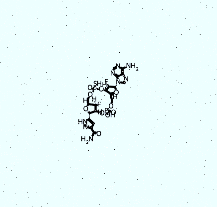 NC(=O)c1cc([C@@H]2O[C@@H]3COP(=O)(S)O[C@H]4[C@@H](F)[C@H](n5cnc6c(N)ncnc65)O[C@@H]4COP(=O)(O)O[C@@H]2[C@@H]3F)[nH]n1